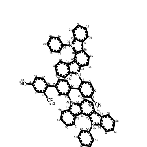 N#Cc1ccc(-n2c3ccccc3c3c2ccc2c4ccccc4n(-c4ccccc4)c23)c(-c2ccc(-c3ccc(C#N)cc3C(F)(F)F)cc2-n2c3ccccc3c3c2ccc2c4ccccc4n(-c4ccccc4)c23)c1